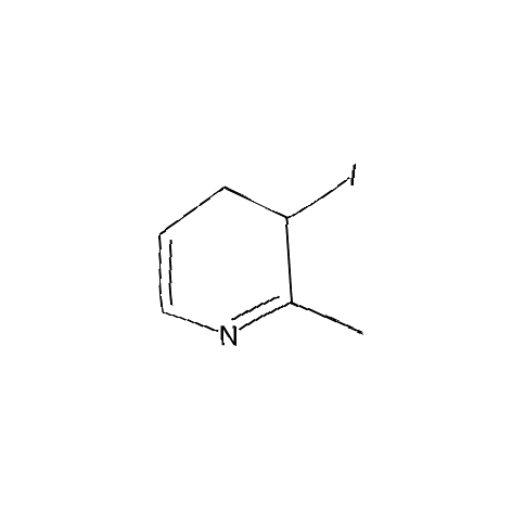 CC1=NC=CCC1I